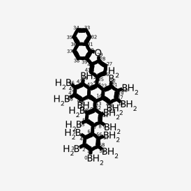 Bc1c(B)c(B)c(-c2c(B)c(B)c(-c3c4c(B)c(B)c(B)c(B)c4c(-c4ccc5oc6c7ccccc7ccc6c5c4)c4c(B)c(B)c(B)c(B)c34)c(B)c2B)c(B)c1B